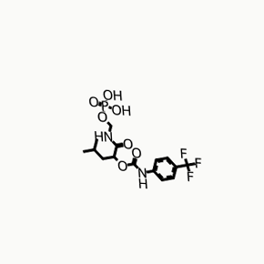 CC(C)CC(OC(=O)Nc1ccc(C(F)(F)F)cc1)C(=O)NCOP(=O)(O)O